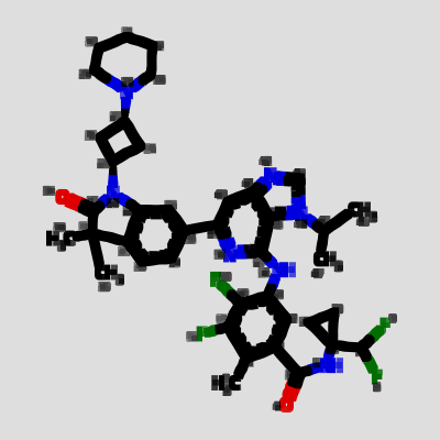 Cc1c(C(=O)NC2(C(F)F)CC2)cc(Nc2nc(-c3ccc4c(c3)N([C@H]3C[C@@H](N5CCCCC5)C3)C(=O)C4(C)C)cc3ncn(C(C)C)c23)c(F)c1F